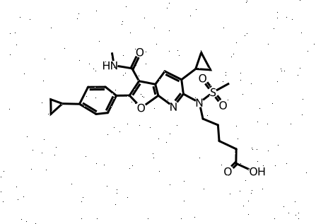 CNC(=O)c1c(-c2ccc(C3CC3)cc2)oc2nc(N(CCCCC(=O)O)S(C)(=O)=O)c(C3CC3)cc12